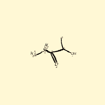 CC(O)C(=O)[SiH2][SiH3]